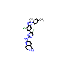 Cc1nc2c(F)cc(-c3nc(Nc4ccc5c(n4)CCNC5)ncc3F)cc2n1C1CCC(C)CC1